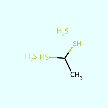 CC(S)S.S.S